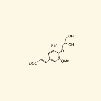 COc1cc(C=CC(=O)[O-])ccc1OCC(O)CO.[Na+]